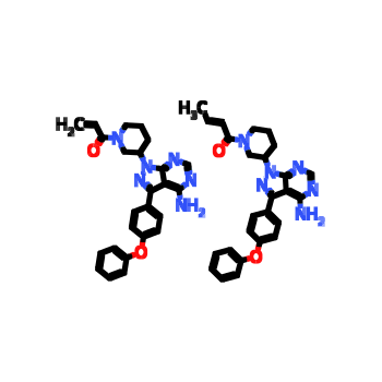 C/C=C/C(=O)N1CCCC(n2nc(-c3ccc(Oc4ccccc4)cc3)c3c(N)ncnc32)C1.C=CC(=O)N1CCCC(n2nc(-c3ccc(Oc4ccccc4)cc3)c3c(N)ncnc32)C1